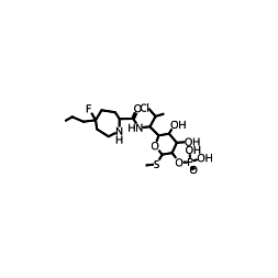 CCCC1(F)CCNC(C(=O)NC(C(C)Cl)C2OC(SC)C(OP(=O)(O)O)C(O)C2O)CC1